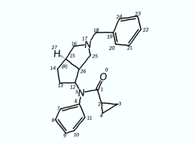 O=C(C1CC1)N(c1ccccc1)C1CC[C@H]2CN(Cc3ccccc3)CC12